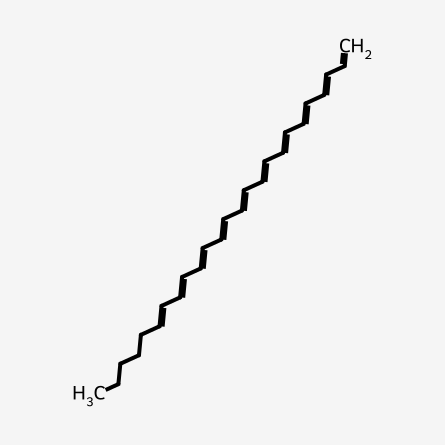 C=CC=CC=CC=CC=CC=CC=CC=CC=CC=CCCCCC